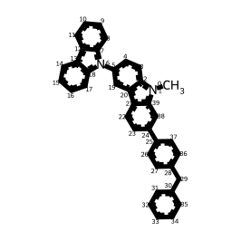 Cn1c2ccc(-n3c4ccccc4c4ccccc43)cc2c2ccc(-c3ccc(Cc4ccccc4)cc3)cc21